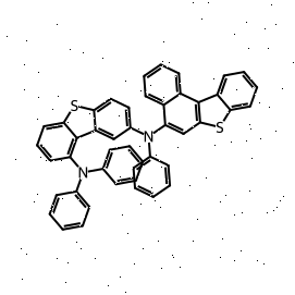 c1ccc(N(c2ccc3sc4cccc(N(c5ccccc5)c5ccccc5)c4c3c2)c2cc3sc4ccccc4c3c3ccccc23)cc1